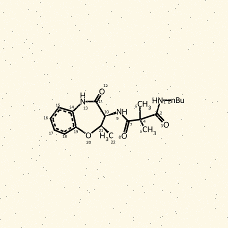 CCCCNC(=O)C(C)(C)C(=O)N[C@@H]1C(=O)Nc2ccccc2O[C@@H]1C